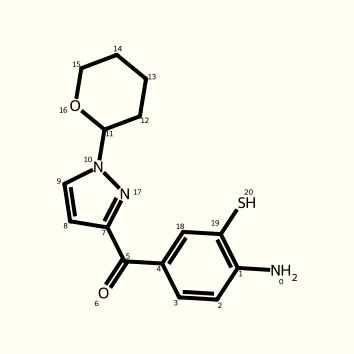 Nc1ccc(C(=O)c2ccn(C3CCCCO3)n2)cc1S